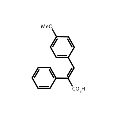 COc1ccc(C=C(C(=O)O)c2ccccc2)cc1